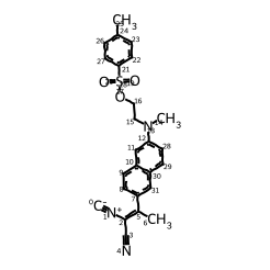 [C-]#[N+]/C(C#N)=C(/C)c1ccc2cc(N(C)CCOS(=O)(=O)c3ccc(C)cc3)ccc2c1